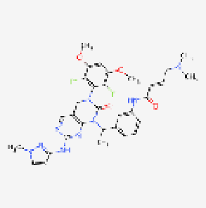 COc1cc(OC)c(F)c(N2Cc3cnc(Nc4ccn(C)n4)nc3N(C(C)c3cccc(NC(=O)/C=C/CN(C)C)c3)C2=O)c1F